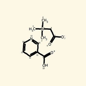 C[N+](C)(C)CC(=O)[O-].O=C(O)c1cccnc1